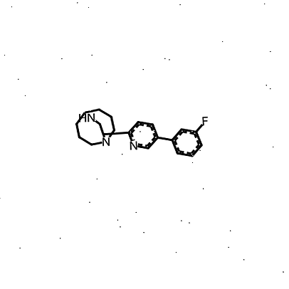 Fc1cccc(-c2ccc(C3CNC4CCCN3CCC4)nc2)c1